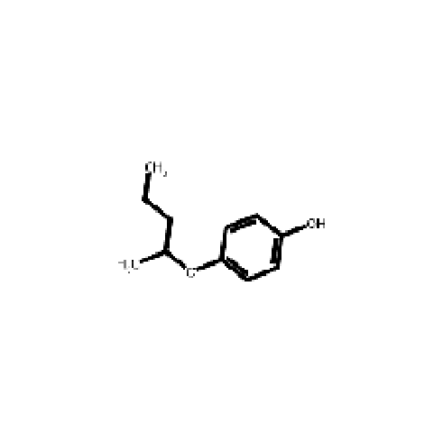 CCCC(C)Oc1ccc(O)cc1